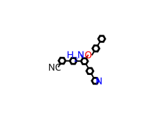 N#Cc1cccc(-c2ccc(-c3cc(-c4ccc(-c5cccnc5)cc4)cc(OCc4ccc(-c5ccccc5)cc4)c3N)cc2)c1